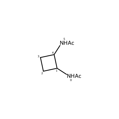 CC(=O)NC1CCC1NC(C)=O